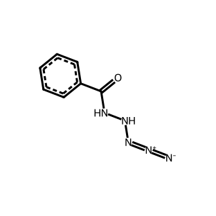 [N-]=[N+]=NNNC(=O)c1ccccc1